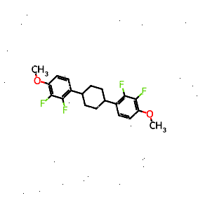 COc1ccc(C2CCC(c3ccc(OC)c(F)c3F)CC2)c(F)c1F